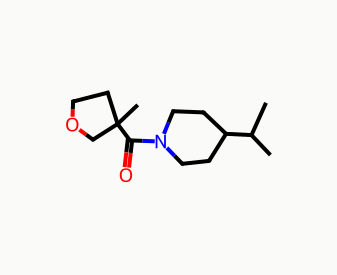 CC(C)C1CCN(C(=O)C2(C)CCOC2)CC1